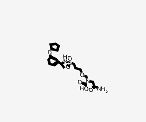 CC(NS(=O)(=O)CCCOCN(CC(N)=O)C(=O)O)c1cccc(OC2CCCC2)c1